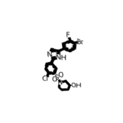 O=S(=O)(c1cc(-c2ncc(-c3ccc(Br)c(F)c3)[nH]2)ccc1Cl)N1CCC[C@@H](O)C1